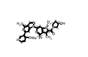 COc1ccncc1-c1cc2c(cnn2-c2cc3c(c(C(C)C)n2)c(C)c(C(=O)N2CC[C@@H](O)C2)n3C)c(C)n1